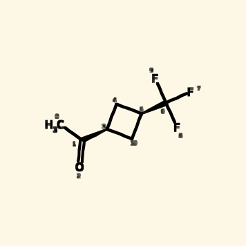 CC(=O)[C@H]1C[C@@H](C(F)(F)F)C1